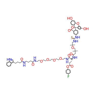 CC(C)(COC(C)(C)CNC(=S)Nc1ccc2c(c1)C(=O)OC21c2ccc(O)cc2Oc2cc(O)ccc21)CC(=O)N[C@H](CCC(=O)Oc1ccc(F)cc1)C(=O)NCCOCCOCCOCCOCCNC(=O)CCCNC(=O)CCCc1c[nH]c2ccccc12